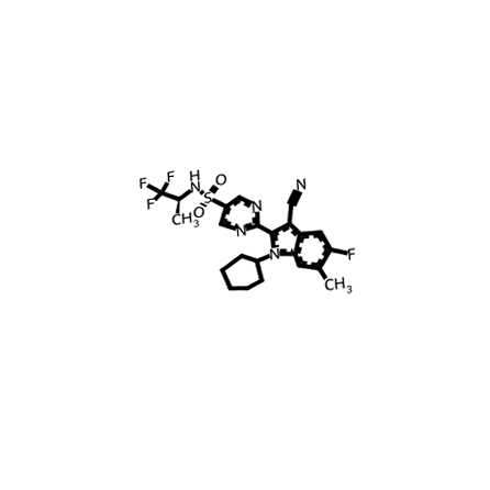 Cc1cc2c(cc1F)c(C#N)c(-c1ncc(S(=O)(=O)N[C@@H](C)C(F)(F)F)cn1)n2C1CCCCC1